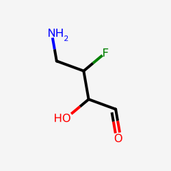 NCC(F)C(O)C=O